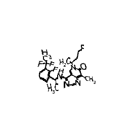 C=C(CCF)n1cc2c(N[C@H](C)c3cccc(C(C)(F)F)c3F)ncnc2c(C)c1=O